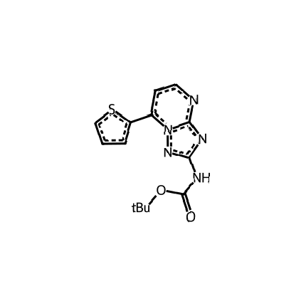 CC(C)(C)OC(=O)Nc1nc2nccc(-c3cccs3)n2n1